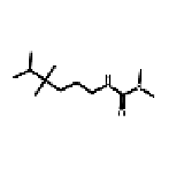 CC(C)C(C)(C)CCCNC(=O)N(C)C